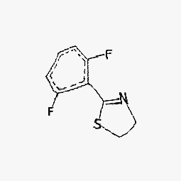 Fc1cccc(F)c1C1=NCCS1